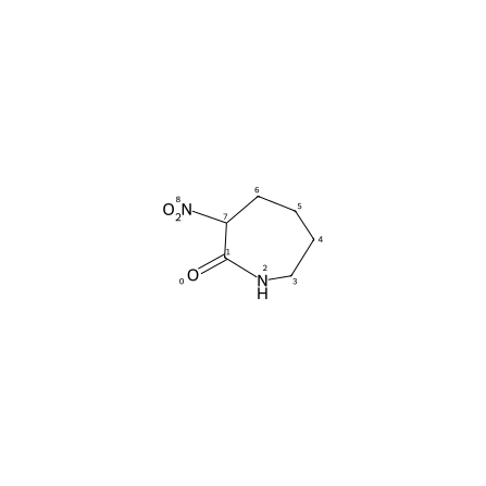 O=C1NCCCCC1[N+](=O)[O-]